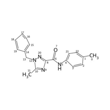 Cc1ccc(NC(=O)c2nc(C)n(Cc3ccccc3)n2)cc1